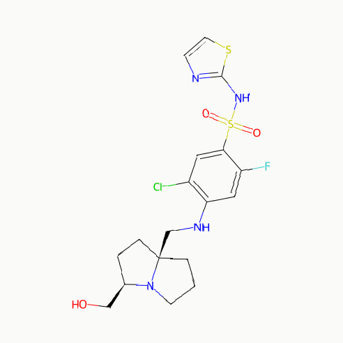 O=S(=O)(Nc1nccs1)c1cc(Cl)c(NC[C@@]23CCCN2[C@@H](CO)CC3)cc1F